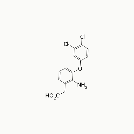 Nc1c(CC(=O)O)cccc1Oc1ccc(Cl)c(Cl)c1